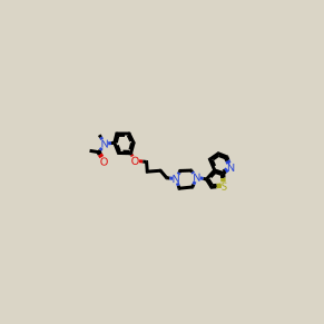 CC(=O)N(C)c1cccc(OCCCCN2CCN(c3csc4ncccc34)CC2)c1